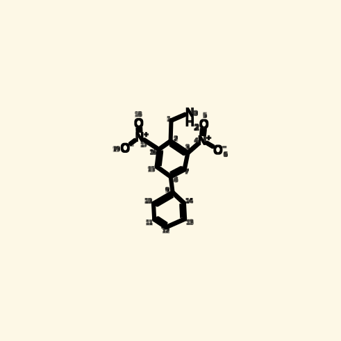 NCc1c([N+](=O)[O-])cc(-c2cc[c]cc2)cc1[N+](=O)[O-]